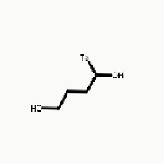 OCCC[CH](O)[Ta]